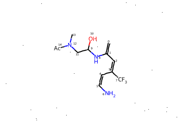 C=C(/C=C(\C=C/N)C(F)(F)F)NC(O)CN(C)C(C)=O